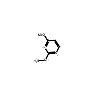 COc1ccnc(NN)n1